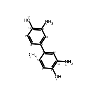 C.Nc1cc(-c2ccc(O)c(N)c2)ccc1O